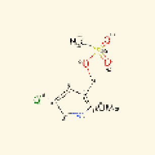 COc1ncc(Cl)cc1COS(C)(=O)=O